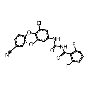 N#Cc1ccc(Oc2c(Cl)cc(NC(=O)NC(=O)c3c(F)cccc3F)cc2Cl)nc1